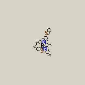 Cc1cc(-c2cc3ccccc3s2)cc(C)c1N1c2ccc(C(C)(C)C)cc2B2c3c1cc(C(C)C)cc3N(c1c(C)cc(C(C)(C)C)cc1C)c1sc3ccc(C(C)(C)C)cc3c12